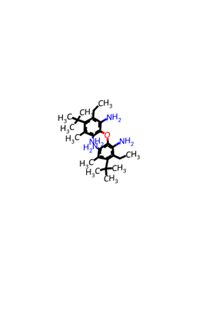 CCc1c(N)c(Oc2c(N)c(C)c(C(C)(C)C)c(CC)c2N)c(N)c(C)c1C(C)(C)C